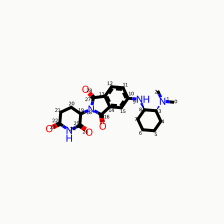 CN(C)[C@@H]1CCCC[C@H]1Nc1ccc2c(c1)C(=O)N(C1CCC(=O)NC1=O)C2=O